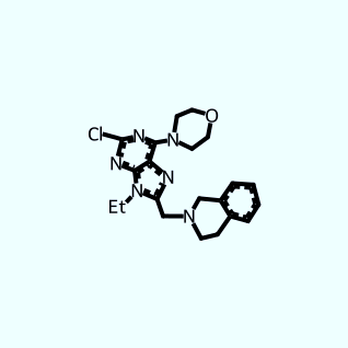 CCn1c(CN2CCc3ccccc3C2)nc2c(N3CCOCC3)nc(Cl)nc21